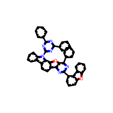 c1ccc(-c2nc(-c3ccccc3)nc(-n3c4ccccc4c4ccc5c6nc(-c7cccc8oc9ccccc9c78)nc(-c7ccccc7)c6oc5c43)n2)cc1